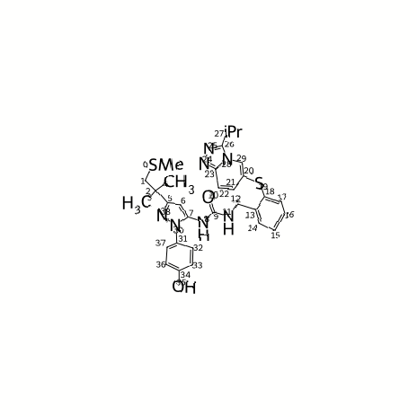 CSCC(C)(C)c1cc(NC(=O)NCc2ccccc2Sc2ccc3nnc(C(C)C)n3c2)n(-c2ccc(O)cc2)n1